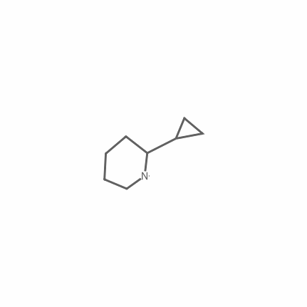 C1CCC(C2CC2)[N]C1